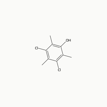 Cc1c(O)c(C)c(Cl)c(C)c1Cl